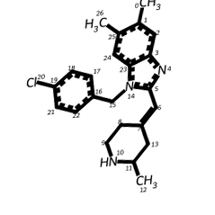 Cc1cc2nc(/C=C3\CCNC(C)C3)n(Cc3ccc(Cl)cc3)c2cc1C